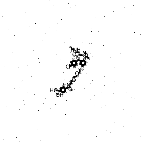 CCNC(=O)C[C@@H]1N=C(c2ccc(Cl)cc2)c2cc(OCCOCCOCCNC(=O)c3ccc(B(O)O)cc3)ccc2-n2c(C)nnc21